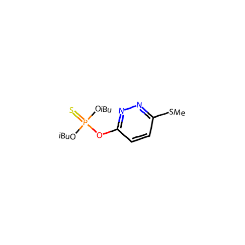 CSc1ccc(OP(=S)(OCC(C)C)OCC(C)C)nn1